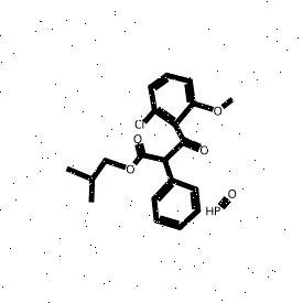 COc1cccc(Cl)c1C(=O)C(C(=O)OCC(C)C)c1ccccc1.O=P